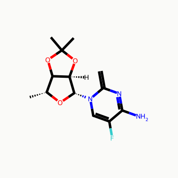 C=C1N=C(N)C(F)=CN1[C@@H]1O[C@H](C)C2OC(C)(C)O[C@H]21